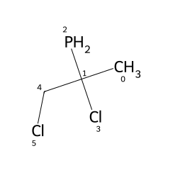 CC(P)(Cl)CCl